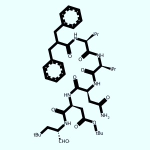 CC(C)[C@H](NC(=O)C(Cc1ccccc1)Cc1ccccc1)C(=O)N[C@H](C(=O)N[C@@H](CC(N)=O)C(=O)N[C@@H](CC(=O)OC(C)(C)C)C(=O)N[C@H]([C]=O)CC(C)(C)C)C(C)C